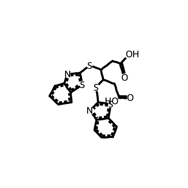 O=C(O)CC(Sc1nc2ccccc2s1)C(CC(=O)O)Sc1nc2ccccc2s1